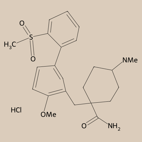 CNC1CCC(Cc2cc(-c3ccccc3S(C)(=O)=O)ccc2OC)(C(N)=O)CC1.Cl